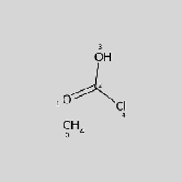 C.O=C(O)Cl